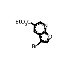 CCOC(=O)c1cnc2occ(Br)c2c1